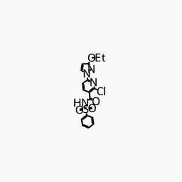 CCOc1ccn(-c2ccc(C(=O)NS(=O)(=O)c3ccccc3)c(Cl)n2)n1